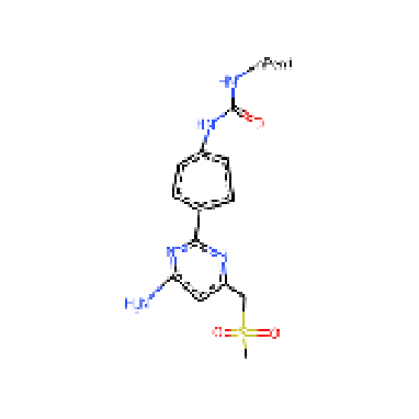 CCCCCNC(=O)Nc1ccc(-c2nc(N)cc(CS(C)(=O)=O)n2)cc1